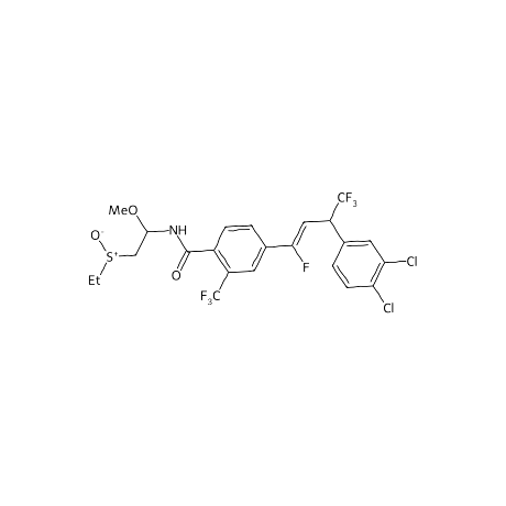 CC[S+]([O-])CC(NC(=O)c1ccc(/C(F)=C/C(c2ccc(Cl)c(Cl)c2)C(F)(F)F)cc1C(F)(F)F)OC